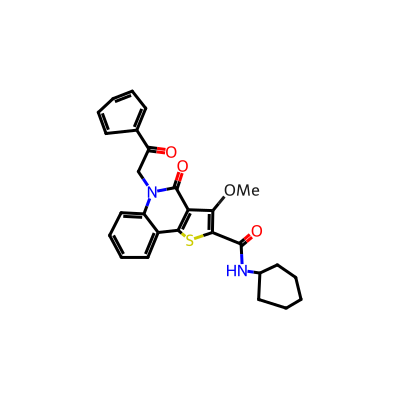 COc1c(C(=O)NC2CCCCC2)sc2c1c(=O)n(CC(=O)c1ccccc1)c1ccccc21